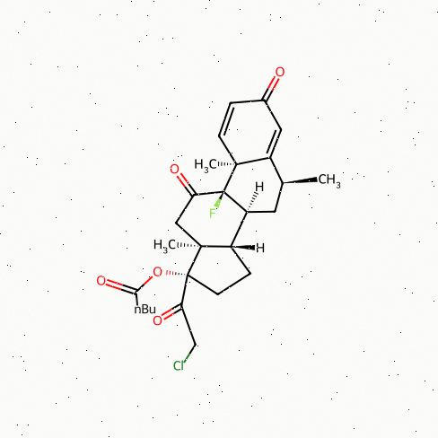 CCCCC(=O)O[C@@]1(C(=O)CCl)CC[C@H]2[C@@H]3C[C@H](C)C4=CC(=O)C=C[C@]4(C)[C@@]3(F)C(=O)C[C@@]21C